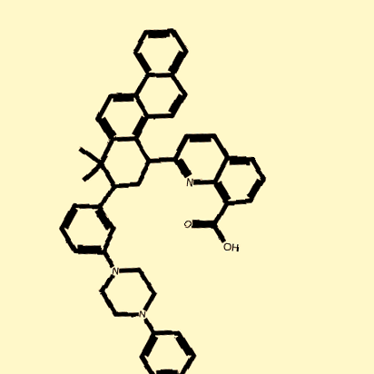 CC1(C)c2ccc3c(ccc4ccccc43)c2C(c2ccc3cccc(C(=O)O)c3n2)CC1c1cccc(N2CCN(c3ccccc3)CC2)c1